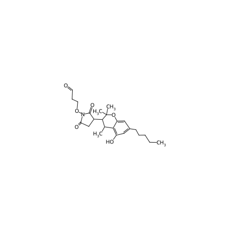 CCCCCc1cc(O)c2c(c1)OC(C)(C)C(C1CC(=O)N(OCCC=O)C1=O)C2C